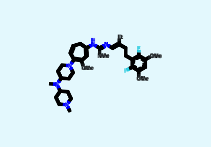 CC/C(=C\N=C(/NC)NC1=CC(OC)=C(N2CCC(N(C)C3CCN(C)CC3)CC2)C=CC1)CCc1c(F)c(OC)cc(OC)c1F